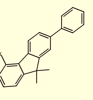 CC1(C)c2cc(-c3ccccc3)ccc2-c2c(I)cccc21